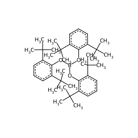 CC(C)(C)c1cccc(C(C)(C)C)c1OB(Oc1c(C(C)(C)C)cccc1C(C)(C)C)Oc1c(C(C)(C)C)cccc1C(C)(C)C